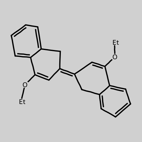 CCOC1=CC(=C2C=C(OCC)c3ccccc3C2)Cc2ccccc21